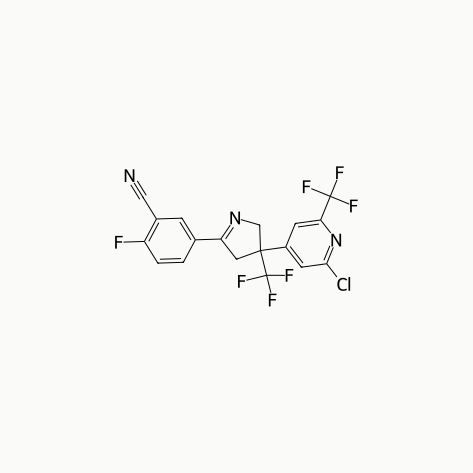 N#Cc1cc(C2=NCC(c3cc(Cl)nc(C(F)(F)F)c3)(C(F)(F)F)C2)ccc1F